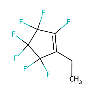 CCC1=C(F)C(F)(F)C(F)(F)C1(F)F